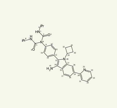 CC(C)NC(=O)N(C(=O)NC(C)C)c1ccc(-c2c(N)c3ccc(-c4ccccn4)cc3n2C2CCC2)cc1